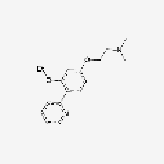 CCOc1cc(OCCN(C)C)ccc1-c1ccc[c]n1